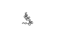 c1ccc(-c2ccc(-c3cccc(N(c4ccccc4)c4ccc(-c5cccc6c5oc5ccc7oc(-c8ccccc8)nc7c56)cc4)c3)cc2)cc1